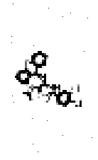 CC(C)N1C(=O)C(NC(=O)c2ccc(Cl)c(Cl)c2)N=C(c2ccccc2F)c2ccccc21